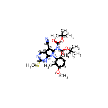 COc1ccc(C)c(-n2c(N(C(=O)OC(C)(C)C)C(=O)OC(C)(C)C)c(C#N)c3cnc(SC)nc32)c1C